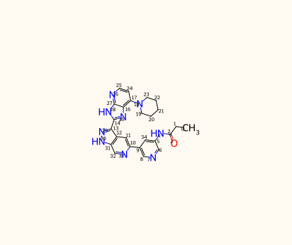 CCC(=O)Nc1cncc(-c2cc3c(-c4nc5c(N6CCCCC6)ccnc5[nH]4)n[nH]c3cn2)c1